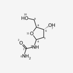 NC(=O)NC1C[C@@H](O)C(CO)O1